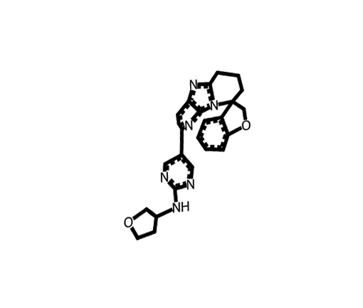 c1ccc2c(c1)OCC21CCCc2nc3ccc(-c4cnc(NC5CCOC5)nc4)nc3n21